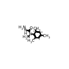 Cc1cc(C)c(N(N)C(=O)NN)c(C)c1